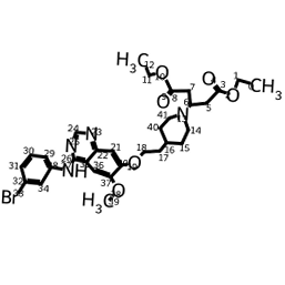 CCOC(=O)CC(CC(=O)OCC)N1CCC(CCOc2cc3ncnc(Nc4cccc(Br)c4)c3cc2OC)CC1